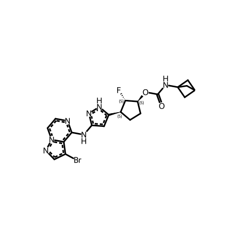 O=C(NC12CC(C1)C2)O[C@H]1CC[C@@H](c2cc(Nc3nccn4ncc(Br)c34)n[nH]2)[C@@H]1F